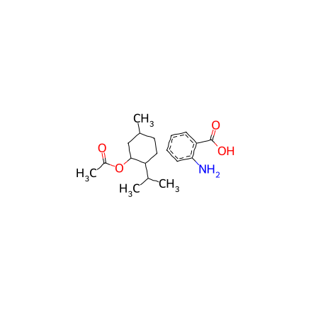 CC(=O)OC1CC(C)CCC1C(C)C.Nc1ccccc1C(=O)O